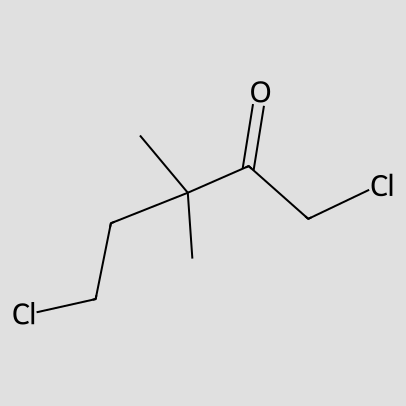 CC(C)(CCCl)C(=O)CCl